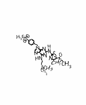 CCOC(=O)c1sc(Nc2nc(NCCN(C)C)c3ncn(Cc4ccc(S(C)(=O)=O)cc4)c3n2)nc1C